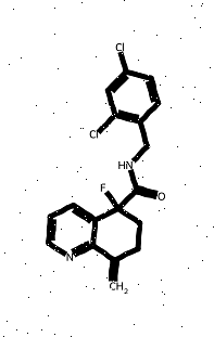 C=C1CCC(F)(C(=O)NCc2ccc(Cl)cc2Cl)c2cccnc21